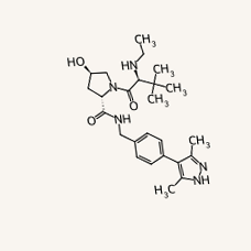 CCN[C@H](C(=O)N1C[C@H](O)C[C@H]1C(=O)NCc1ccc(-c2c(C)n[nH]c2C)cc1)C(C)(C)C